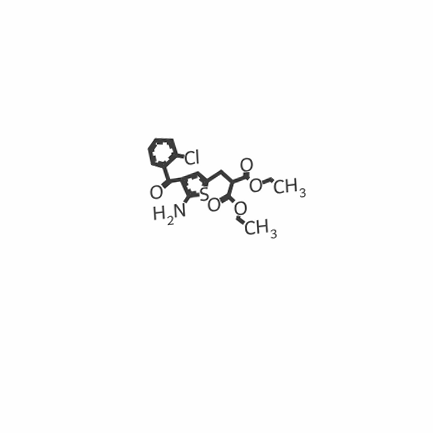 CCOC(=O)C(Cc1cc(C(=O)c2ccccc2Cl)c(N)s1)C(=O)OCC